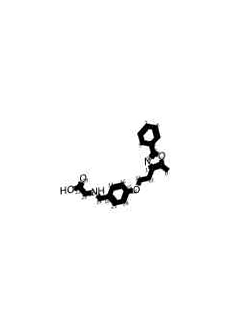 Cc1oc(C2C=CC=CC2)nc1CCOc1ccc(CNCC(=O)O)cc1